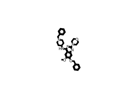 COc1cc2c(NC3CCN(Cc4ccccc4)CC3)nc(N3CCOCC3)nc2cc1OCc1ccccc1